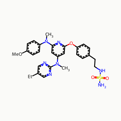 CCc1cnc(N(C)c2cc(Oc3ccc(CCNS(N)(=O)=O)cc3)nc(N(C)c3ccc(OC)cc3)c2)nc1